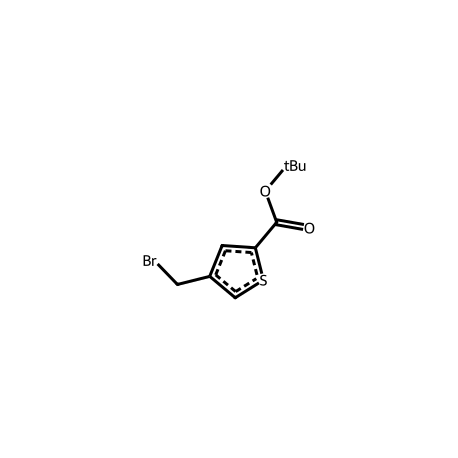 CC(C)(C)OC(=O)c1cc(CBr)cs1